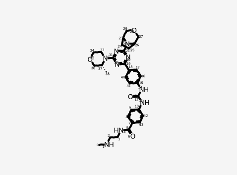 CNCCNC(=O)c1ccc(NC(=O)Nc2ccc(-c3nc(N4C5CCC4COC5)nc(N4CCOC[C@H]4C)n3)cc2)cc1